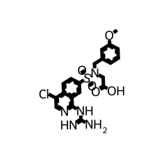 COc1cccc(CN(CC(=O)O)S(=O)(=O)c2ccc3c(Cl)cnc(NC(=N)N)c3c2)c1